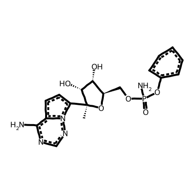 C[C@@]1(c2ccc3c(N)ncnn23)O[C@H](COP(N)(=O)Oc2ccccc2)[C@@H](O)[C@H]1O